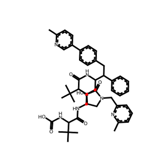 Cc1ccc(-c2ccc(CC(c3ccccc3)C(CC(O)CNC(=O)C(NC(=O)O)C(C)(C)C)NC(=O)C(N3CCN(Cc4cccc(C)n4)C3=O)C(C)(C)C)cc2)cn1